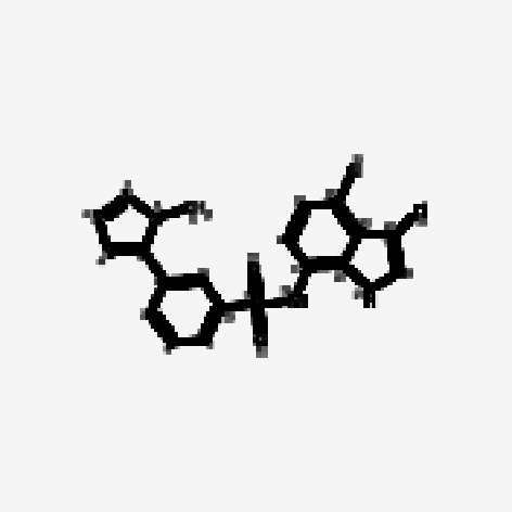 Cn1nnnc1-c1cccc(S(=O)(=O)Nc2ccc(Cl)c3c(Cl)c[nH]c23)c1